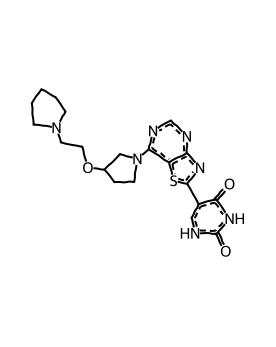 O=c1[nH]cc(-c2nc3ncnc(N4CCC(OCCN5CCCCC5)C4)c3s2)c(=O)[nH]1